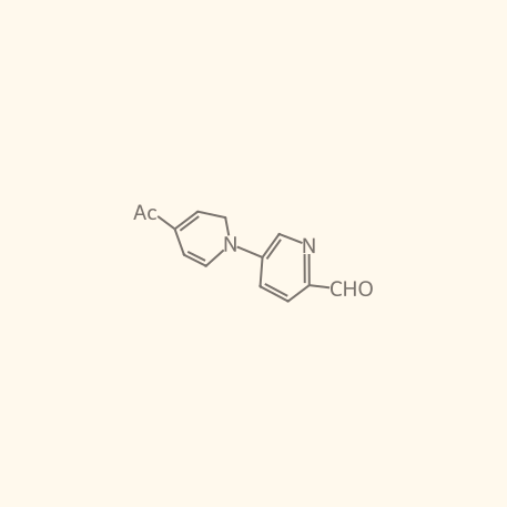 CC(=O)C1=CCN(c2ccc(C=O)nc2)C=C1